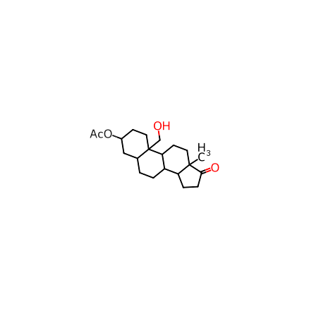 CC(=O)OC1CCC2(CO)C(CCC3C4CCC(=O)C4(C)CCC32)C1